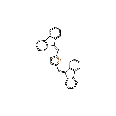 C(=C1c2ccccc2-c2ccccc21)c1ccc(C=C2c3ccccc3-c3ccccc32)s1